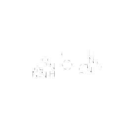 CC(NC(=O)c1nc(C(C)(C)C)no1)c1ccc(-c2ccnc(NC(=O)C3CC3)c2)cc1Cl